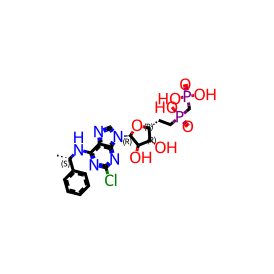 C[C@H](Nc1nc(Cl)nc2c1ncn2[C@@H]1O[C@H](CCP(=O)(O)CP(=O)(O)O)[C@H](O)C1O)c1ccccc1